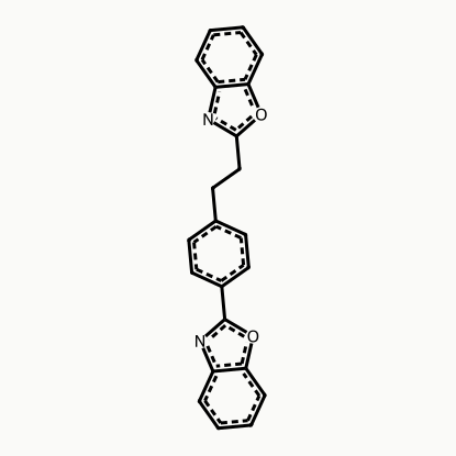 c1ccc2oc(CCc3ccc(-c4nc5ccccc5o4)cc3)nc2c1